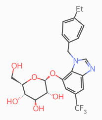 CCc1ccc(Cn2cnc3cc(C(F)(F)F)cc(O[C@@H]4O[C@H](CO)[C@@H](O)[C@H](O)[C@H]4O)c32)cc1